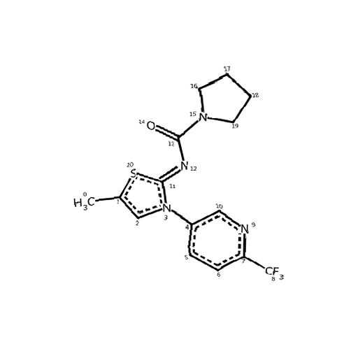 Cc1cn(-c2ccc(C(F)(F)F)nc2)c(=NC(=O)N2CCCC2)s1